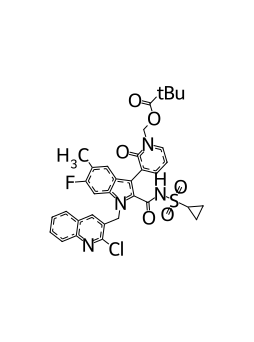 Cc1cc2c(-c3cccn(COC(=O)C(C)(C)C)c3=O)c(C(=O)NS(=O)(=O)C3CC3)n(Cc3cc4ccccc4nc3Cl)c2cc1F